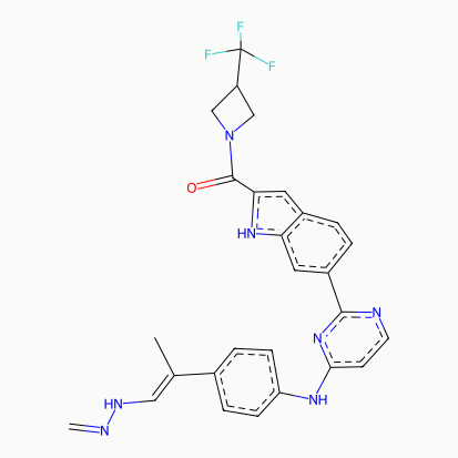 C=NN/C=C(\C)c1ccc(Nc2ccnc(-c3ccc4cc(C(=O)N5CC(C(F)(F)F)C5)[nH]c4c3)n2)cc1